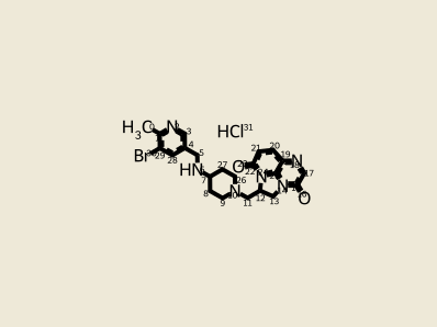 Cc1ncc(CNC2CCN(CC3Cn4c(=O)cnc5ccc(=O)n3c54)CC2)cc1Br.Cl